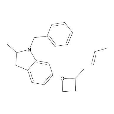 C=CC.CC1CCO1.CC1Cc2ccccc2N1Cc1ccccc1